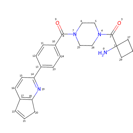 NC1(C(=O)N2CCN(C(=O)c3ccc(-c4ccc5c(n4)CC=C5)cc3)CC2)CCC1